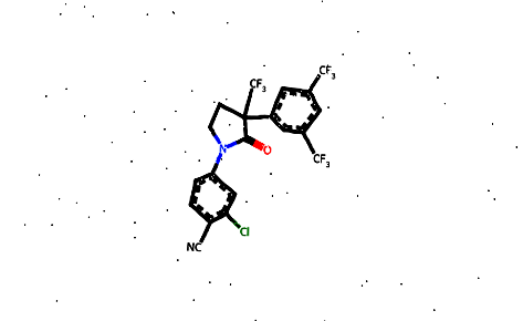 N#Cc1ccc(N2CCC(c3cc(C(F)(F)F)cc(C(F)(F)F)c3)(C(F)(F)F)C2=O)cc1Cl